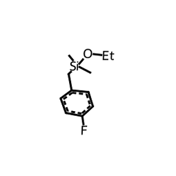 CCO[Si](C)(C)Cc1ccc(F)cc1